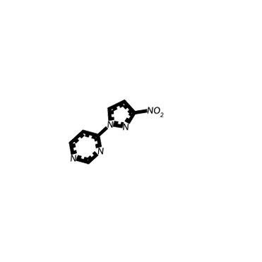 O=[N+]([O-])c1ccn(-c2ccncn2)n1